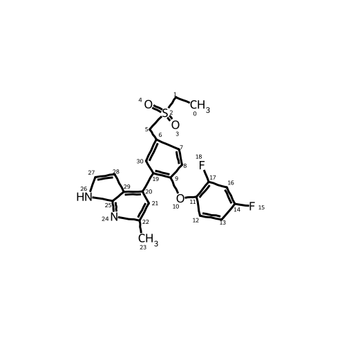 CCS(=O)(=O)Cc1ccc(Oc2ccc(F)cc2F)c(-c2cc(C)nc3[nH]ccc23)c1